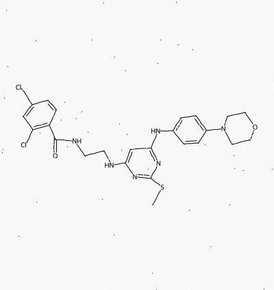 CSc1nc(NCCNC(=O)c2ccc(Cl)cc2Cl)cc(Nc2ccc(N3CCOCC3)cc2)n1